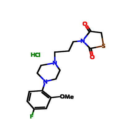 COc1cc(F)ccc1N1CCN(CCCN2C(=O)CSC2=O)CC1.Cl